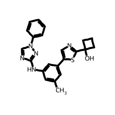 Cc1cc(Nc2ncn(-c3ccccc3)n2)cc(-c2cnc(C3(O)CCC3)s2)c1